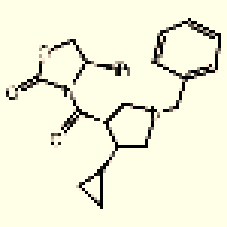 CC(C)[C@@H]1COC(=O)N1C(=O)[C@H]1CN(Cc2ccccc2)C[C@H]1C1CC1